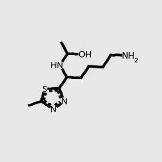 Cc1nnc(C(CCCCN)NC(C)O)s1